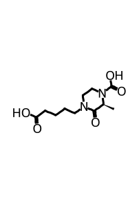 C[C@H]1C(=O)N(CCCCC(=O)O)CCN1C(=O)O